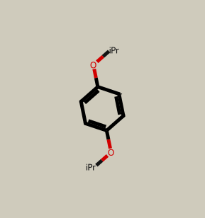 CC(C)Oc1[c]cc(OC(C)C)cc1